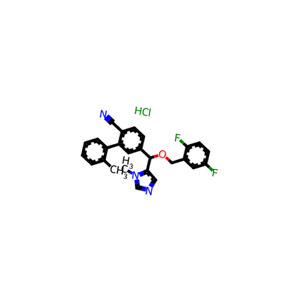 Cc1ccccc1-c1cc(C(OCc2cc(F)ccc2F)c2cncn2C)ccc1C#N.Cl